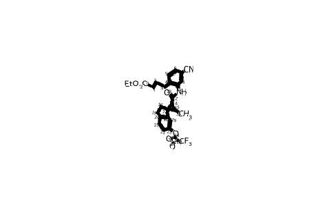 CCOC(=O)CCCc1ccc(C#N)cc1NC(=O)C1C(C)C12CCc1ccc(OS(=O)(=O)C(F)(F)F)cc12